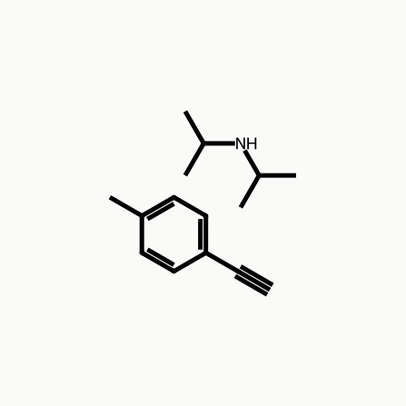 C#Cc1ccc(C)cc1.CC(C)NC(C)C